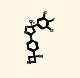 OC1(c2ccc(C3=NO[C@](c4cc(Cl)c(F)c(Cl)c4)(C(F)(F)F)C3)cc2)CNC1